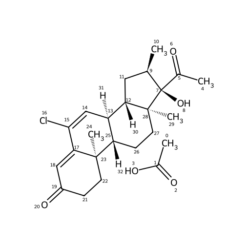 CC(=O)O.CC(=O)[C@@]1(O)[C@H](C)C[C@H]2[C@@H]3C=C(Cl)C4=CC(=O)CC[C@]4(C)[C@H]3CC[C@@]21C